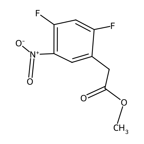 COC(=O)Cc1cc([N+](=O)[O-])c(F)cc1F